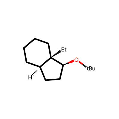 CC[C@]12CCCC[C@@H]1CC[C@@H]2OC(C)(C)C